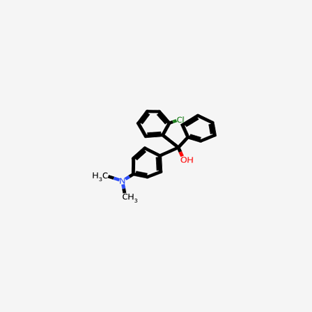 CN(C)c1ccc(C(O)(c2ccccc2)c2ccccc2Cl)cc1